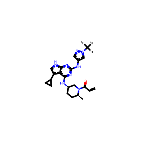 [2H]C([2H])([2H])n1cc(Nc2nc(N[C@@H]3CC[C@H](C)N(C(=O)C=C)C3)c3c(C4CC4)c[nH]c3n2)cn1